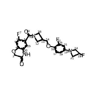 O=C1COc2cc(F)c(C(=O)N3CC(COc4ccc(N5CC(F)C5)cc4F)C3)cc2N1